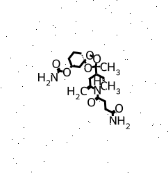 C=C(CC(CC)[C@@]1(C)OO[C@@]2(CCCC(OC(N)=O)C2)O1)NC(=O)CCC(N)=O